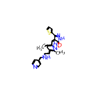 Cc1[nH]c(C=C2C(=O)NN=C2c2cccs2)c(C)c1CCNCc1ccncc1